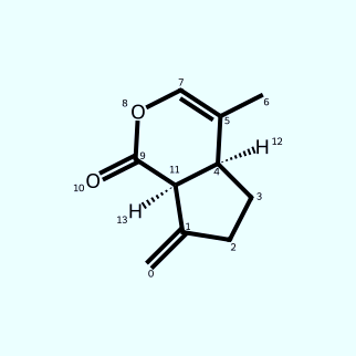 C=C1CC[C@@H]2C(C)=COC(=O)[C@H]12